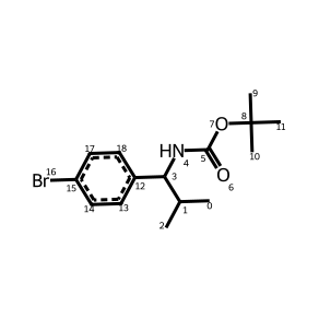 CC(C)C(NC(=O)OC(C)(C)C)c1ccc(Br)cc1